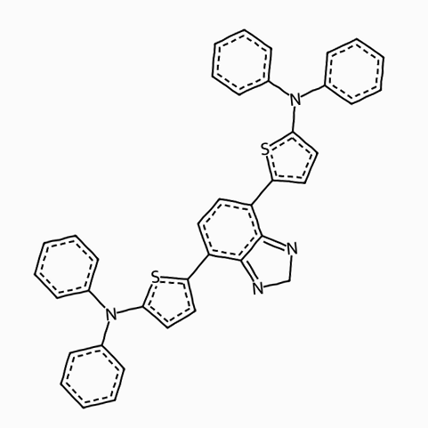 c1ccc(N(c2ccccc2)c2ccc(-c3ccc(-c4ccc(N(c5ccccc5)c5ccccc5)s4)c4c3=NCN=4)s2)cc1